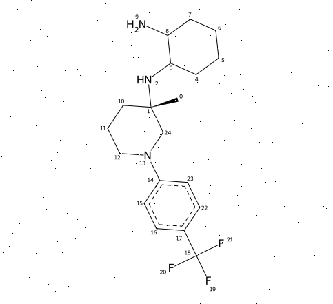 C[C@]1(NC2CCCCC2N)CCCN(c2ccc(C(F)(F)F)cc2)C1